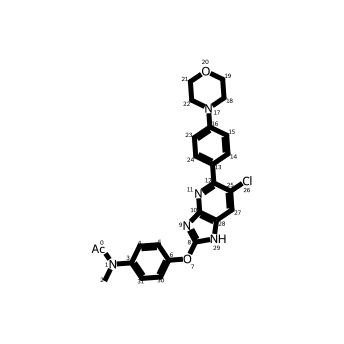 CC(=O)N(C)c1ccc(Oc2nc3nc(-c4ccc(N5CCOCC5)cc4)c(Cl)cc3[nH]2)cc1